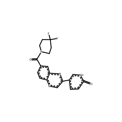 O=C(c1ccc2ncc(-c3ccc(=O)[nH]c3)nc2c1)N1CCC(F)(F)CC1